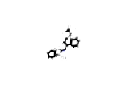 CC(=O)C[n+]1ccc(/C=C2\Sc3ccccc3N2C)c2ccccc21